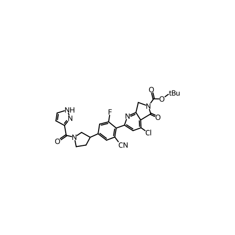 CC(C)(C)OC(=O)N1Cc2nc(-c3c(F)cc(C4CCN(C(=O)c5cc[nH]n5)C4)cc3C#N)cc(Cl)c2C1=O